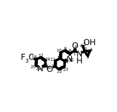 O=C(NC1(CO)CC1)c1ccc2cc(Oc3ccc(C(F)(F)F)cn3)ccc2n1